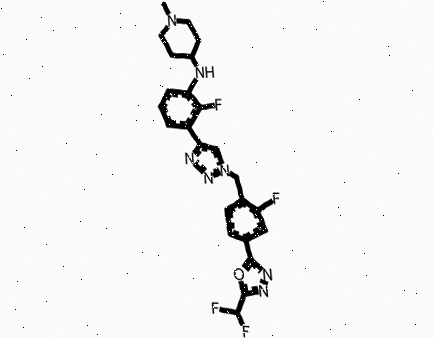 CN1CCC(Nc2cccc(-c3cn(Cc4ccc(-c5nnc(C(F)F)o5)cc4F)nn3)c2F)CC1